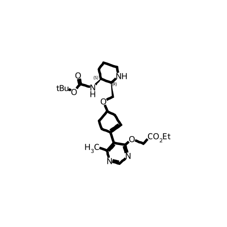 CCOC(=O)COc1ncnc(C)c1C1=CCC(OC[C@@H]2NCCC[C@@H]2NC(=O)OC(C)(C)C)CC1